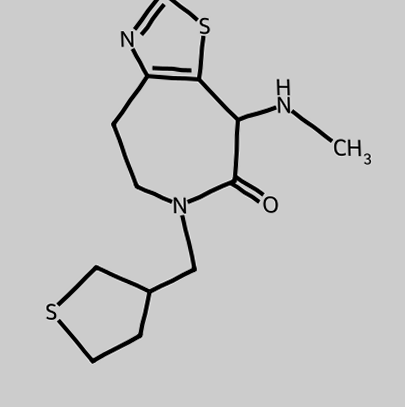 CNC1C(=O)N(CC2CCSC2)CCc2ncsc21